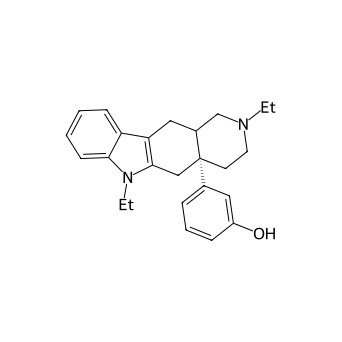 CCN1CC[C@@]2(c3cccc(O)c3)Cc3c(c4ccccc4n3CC)CC2C1